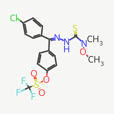 CON(C)C(=S)NN=C(c1ccc(Cl)cc1)c1ccc(OS(=O)(=O)C(F)(F)F)cc1